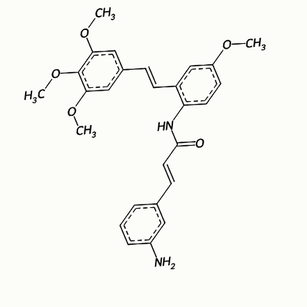 COc1ccc(NC(=O)/C=C/c2cccc(N)c2)c(C=Cc2cc(OC)c(OC)c(OC)c2)c1